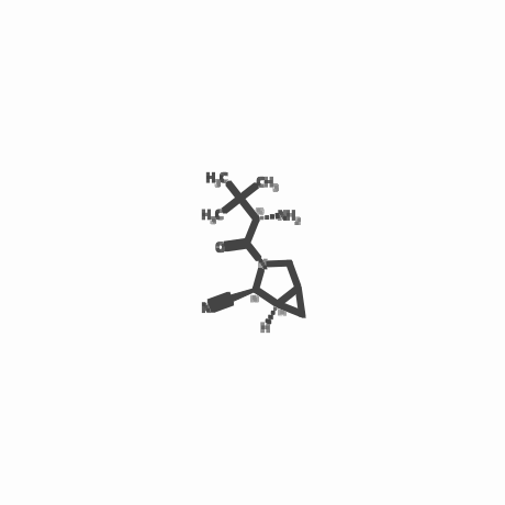 CC(C)(C)[C@H](N)C(=O)N1CC2C[C@H]2[C@H]1C#N